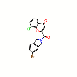 O=C(c1cc(=O)c2cccc(Cl)c2o1)N1Cc2ccc(Br)cc2C1